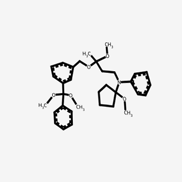 COC(C)(CCN(c1ccccc1)C1(OC)CCCC1)OCc1cccc(C(OC)(OC)c2ccccc2)c1